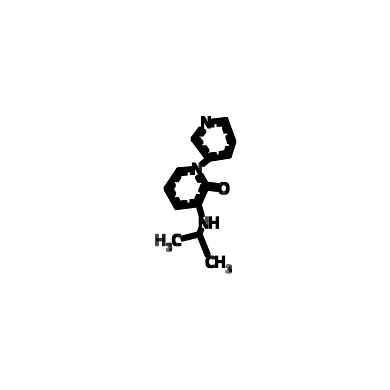 CC(C)Nc1cccn(-c2cccnc2)c1=O